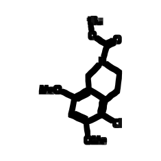 COc1cc(OC)c2c(c1Cl)CCN(C(=O)OC(C)(C)C)C2